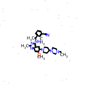 CCN1CCN(C2CCN(c3cc4c(NC(C)c5cccc(C#N)c5C)nc(C)nc4cc3OC)CC2)CC1